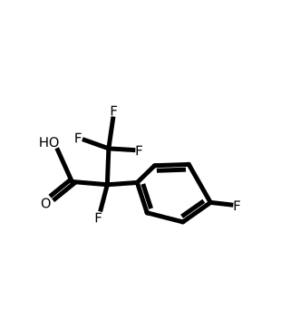 O=C(O)C(F)(c1ccc(F)cc1)C(F)(F)F